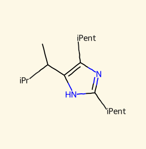 CCCC(C)c1nc(C(C)CCC)c(C(C)C(C)C)[nH]1